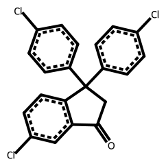 O=C1CC(c2ccc(Cl)cc2)(c2ccc(Cl)cc2)c2ccc(Cl)cc21